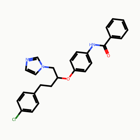 O=C(Nc1ccc(OC(CCc2ccc(Cl)cc2)Cn2ccnc2)cc1)c1ccccc1